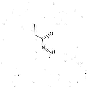 N=NC(=O)CI